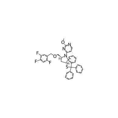 COc1nccc(N2C[C@H](SC(c3ccccc3)(c3ccccc3)c3ccccc3)C[C@H]2COCc2cc(F)c(F)cc2F)n1